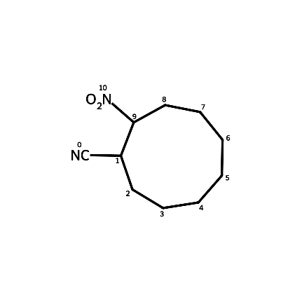 N#CC1CCCCCCCC1[N+](=O)[O-]